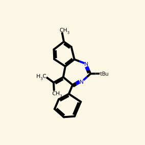 CC(C)=C1C(c2ccccc2)=NC(C(C)(C)C)=Nc2cc(C)ccc21